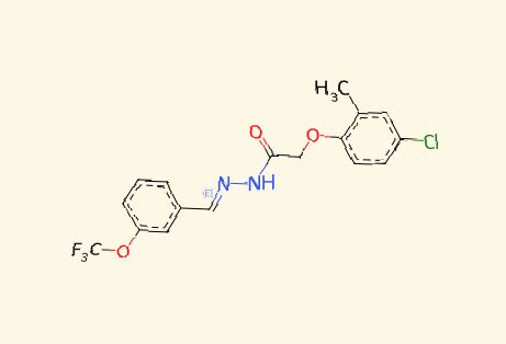 Cc1cc(Cl)ccc1OCC(=O)N/N=C/c1cccc(OC(F)(F)F)c1